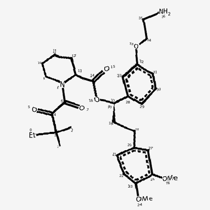 CCC(C)(C)C(=O)C(=O)N1CCCCC1C(=O)O[C@H](CCc1ccc(OC)c(OC)c1)c1cccc(OCCN)c1